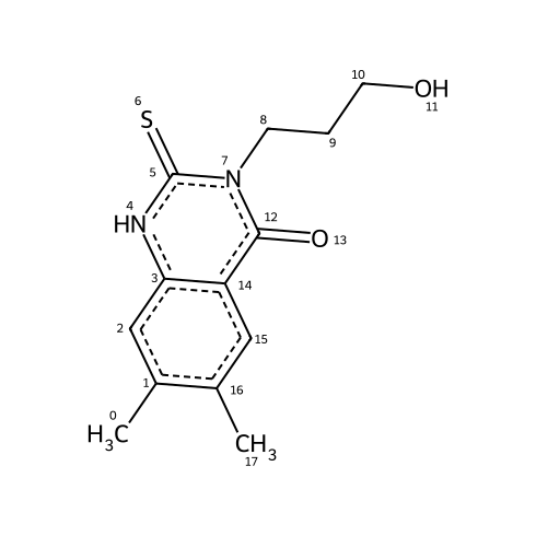 Cc1cc2[nH]c(=S)n(CCCO)c(=O)c2cc1C